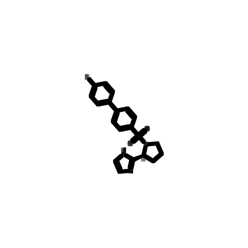 O=S(=O)(c1ccc(-c2ccc(F)cc2)cc1)N1CCC[C@H]1c1ncc[nH]1